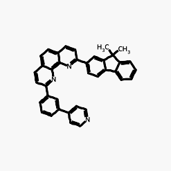 CC1(C)c2ccccc2-c2ccc(-c3ccc4ccc5ccc(-c6cccc(-c7ccncc7)c6)nc5c4n3)cc21